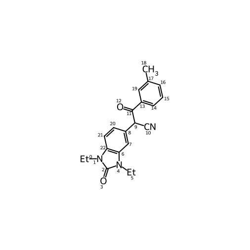 CCn1c(=O)n(CC)c2cc(C(C#N)C(=O)c3cccc(C)c3)ccc21